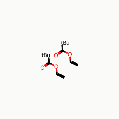 C=COC(=O)C(C)(C)C.C=COC(=O)C(C)(C)C